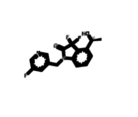 C[C@H](O)c1cccc2c1C(F)(F)C(=O)N2Cc1cncc(F)c1